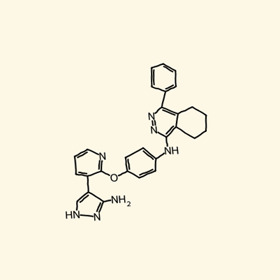 Nc1n[nH]cc1-c1cccnc1Oc1ccc(Nc2nnc(-c3ccccc3)c3c2CCCC3)cc1